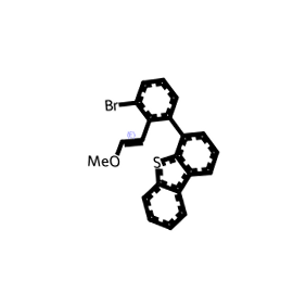 CO/C=C/c1c(Br)cccc1-c1cccc2c1sc1ccccc12